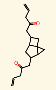 C=CCC(=O)CC1CC23CC2C(CC(=O)CC=C)CC13